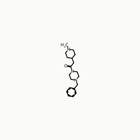 CN1CCC(CC(=O)N2CCN(Cc3ccccc3)CC2)CC1